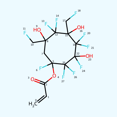 C=CC(=O)OC1(F)CC(O)(CF)C(F)(F)C(O)(CF)C(F)(F)C(O)(F)C1(F)F